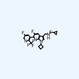 Fc1cnc(C(F)(F)F)c(-c2nc3c(cc2F)c(CNSC2CC2)cn3C2CCC2)c1